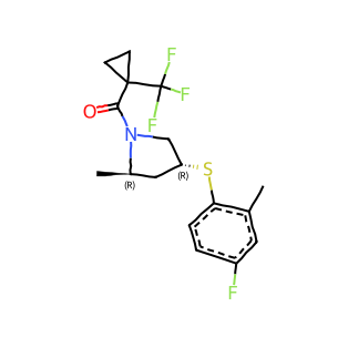 Cc1cc(F)ccc1S[C@@H]1C[C@@H](C)N(C(=O)C2(C(F)(F)F)CC2)C1